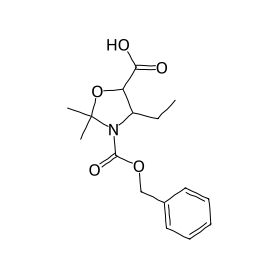 CCC1C(C(=O)O)OC(C)(C)N1C(=O)OCc1ccccc1